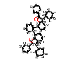 c1ccc(-c2oc3c(-c4ccccc4-c4cccc5c(-c6ccccc6)c(-c6ccccc6)oc45)cccc3c2-c2ccccc2)cc1